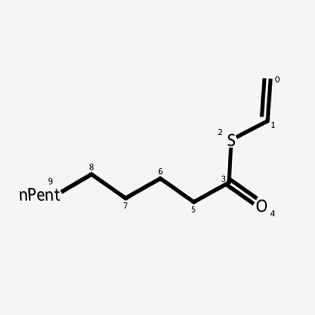 C=CSC(=O)CCCCCCCCC